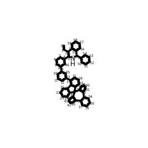 C=CC1=C(c2cccc(-c3cccc(-c4cccc5c4-c4ccccc4C54c5ccccc5-c5ccccc5-c5ccccc54)c3)c2)NC(c2ccccc2)c2ccccc21